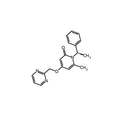 Cc1cc(OCc2ncccn2)cc(=O)n1[C@H](C)c1ccccc1